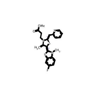 C=C1/C(=C2\Sc3cc(F)ccc3N2C)S/C(=C\c2ccccn2)N1CCC(=O)OC